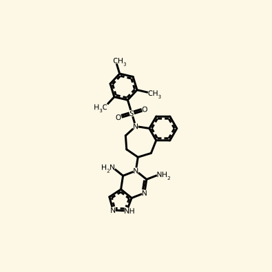 Cc1cc(C)c(S(=O)(=O)N2CCC(N3C(N)=Nc4[nH]ncc4C3N)Cc3ccccc32)c(C)c1